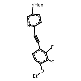 CCCCCCc1ccc(C#Cc2ccc(OCC)c(F)c2F)nc1